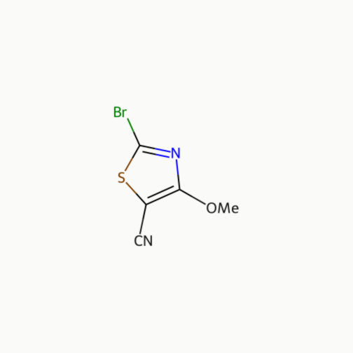 COc1nc(Br)sc1C#N